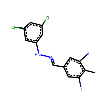 Cc1c(I)cc(/C=N/Nc2cc(Cl)cc(Cl)c2)cc1I